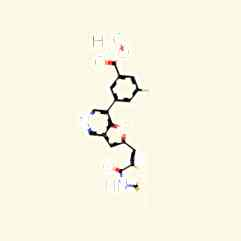 COC(=O)c1cc(F)cc(-c2cncc3cc(/C=C4/SC(=S)NC4=O)oc23)c1